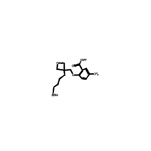 CNCCCCC1(COc2ccc(C)cc2C(=O)OC)COC1